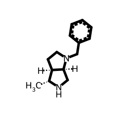 C[C@H]1NC[C@H]2[C@@H]1CCN2Cc1ccccc1